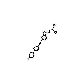 Clc1ccc(-c2ccc(C#Cc3ccc4c(ccn4CC[C](C4CC4)C4CC4)c3)nc2)cc1